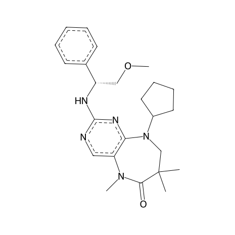 COC[C@H](Nc1ncc2c(n1)N(C1CCCC1)CC(C)(C)C(=O)N2C)c1ccccc1